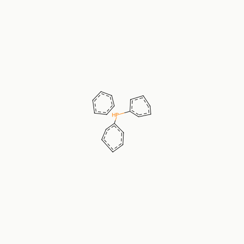 c1ccc(Pc2ccccc2)cc1.c1ccccc1